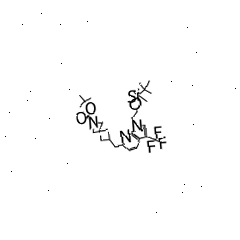 CC(C)(C)OC(=O)N1CC2(CC(Cc3ccc4c(C(F)(F)F)cn(CCO[Si](C)(C)C(C)(C)C)c4n3)C2)C1